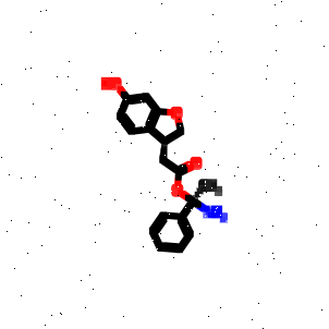 C[C@@](N)(OC(=O)C[C@@H]1COc2cc(O)ccc21)c1ccccc1